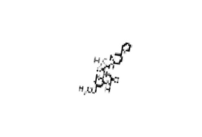 COc1cnc2c(c1)NC(=O)CN2C(=O)C(C)Oc1ccc(-n2cccc2)cn1